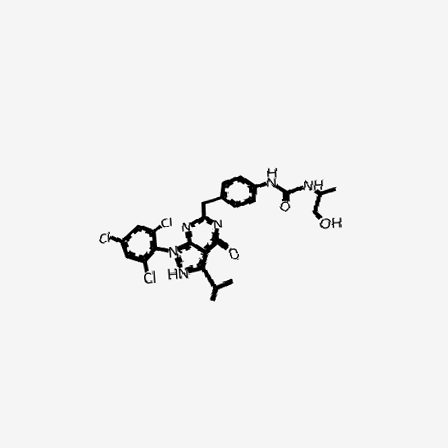 CC(CO)NC(=O)Nc1ccc(Cc2nc3n(-c4c(Cl)cc(Cl)cc4Cl)[nH]c(C(C)C)c-3c(=O)n2)cc1